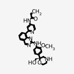 C=CC(=O)Nc1ccnc(-c2cccc3cnc(Nc4ccc([C@]5(CO)CNCCO5)cc4OC)nc23)c1